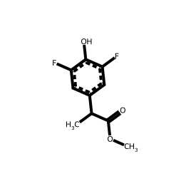 COC(=O)C(C)c1cc(F)c(O)c(F)c1